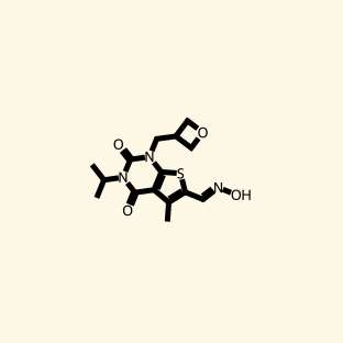 Cc1c(C=NO)sc2c1c(=O)n(C(C)C)c(=O)n2CC1COC1